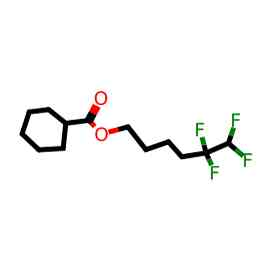 O=C(OCCCCC(F)(F)C(F)F)C1CCCCC1